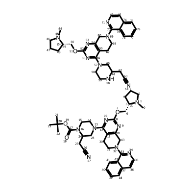 CN1CCC[C@H]1COc1nc2c(c(N3CCN(C(=O)OC(C)(C)C)C(CC#N)C3)n1)CCN(c1nccc3ccccc13)C2.CN1CCC[C@H]1COc1nc2c(c(N3CCNC(CC#N)C3)n1)CCN(c1nccc3ccccc13)C2